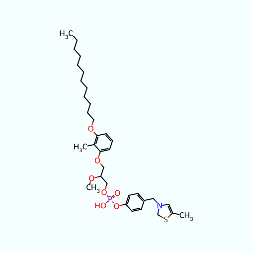 CCCCCCCCCCCCOc1cccc(OCC(COP(=O)(O)Oc2ccc(CN3C=C(C)SC3)cc2)OC)c1C